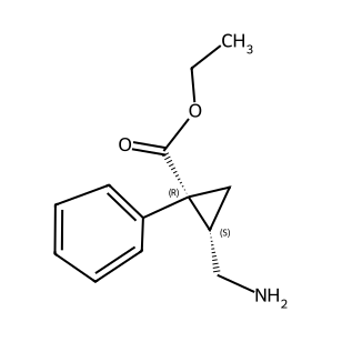 CCOC(=O)[C@]1(c2ccccc2)C[C@@H]1CN